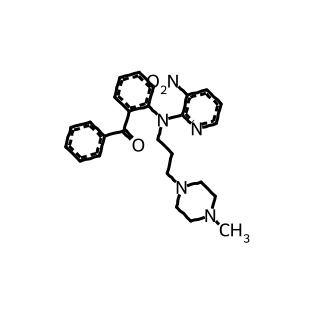 CN1CCN(CCCN(c2ccccc2C(=O)c2ccccc2)c2ncccc2[N+](=O)[O-])CC1